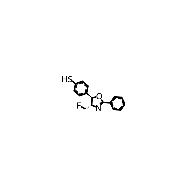 FC[C@H]1N=C(c2ccccc2)O[C@@H]1c1ccc(S)cc1